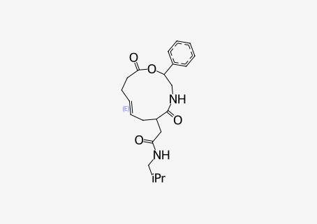 CC(C)CNC(=O)CC1C/C=C/CCC(=O)OC(c2ccccc2)CNC1=O